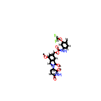 COc1cc(COC(=O)Nc2ccc(C)c(OC(F)F)c2)cc2c1CN(C1CCC(=O)NC1=O)C2=O